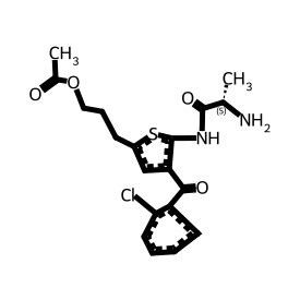 CC(=O)OCCCc1cc(C(=O)c2ccccc2Cl)c(NC(=O)[C@H](C)N)s1